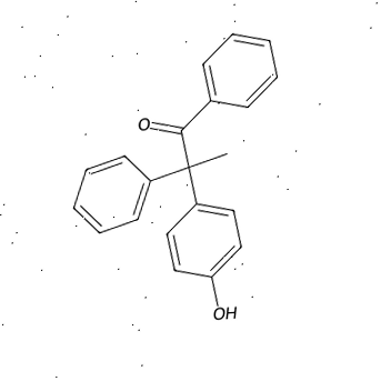 CC(C(=O)c1ccccc1)(c1ccccc1)c1ccc(O)cc1